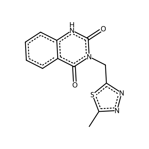 Cc1nnc(Cn2c(=O)[nH]c3ccccc3c2=O)s1